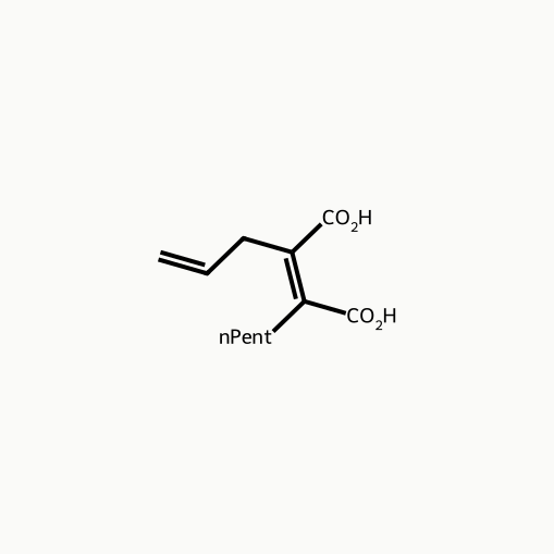 C=CCC(C(=O)O)=C(CCCCC)C(=O)O